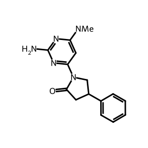 CNc1cc(N2CC(c3ccccc3)CC2=O)nc(N)n1